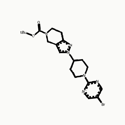 CC(C)(C)OC(=O)N1CCc2nn(C3CCN(c4ncc(Br)cn4)CC3)cc2C1